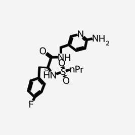 CCCS(=O)(=O)N[C@@H](Cc1ccc(F)cc1)C(=O)NCc1ccc(N)nc1